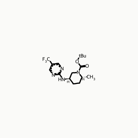 C[C@@H]1CC[C@@H](Nc2ncc(C(F)(F)F)cn2)CN1C(=O)OC(C)(C)C